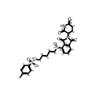 Cc1ccc(S(=O)(=O)OCCCCC[S+]([O-])c2cccc3c2C(=O)N(C2CCC(=O)NC2=O)C3=O)cc1